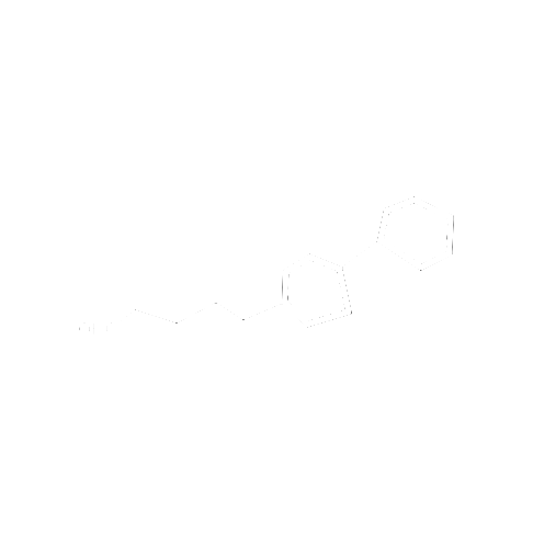 O=CCCCCc1ccc(-c2ccccc2)cc1